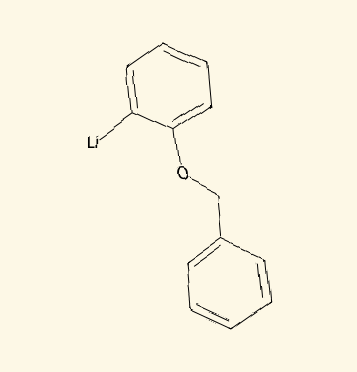 [Li][c]1ccccc1OCc1ccccc1